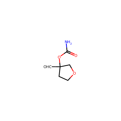 NC(=O)OC1(C=O)CCOC1